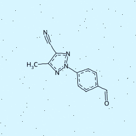 Cc1nn(-c2ccc(C=O)cc2)nc1C#N